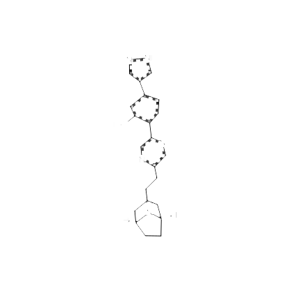 Oc1cc(-c2cn[nH]c2)ccc1-c1cnc(CCC2C[C@H]3CC[C@@H](C2)N3)cn1